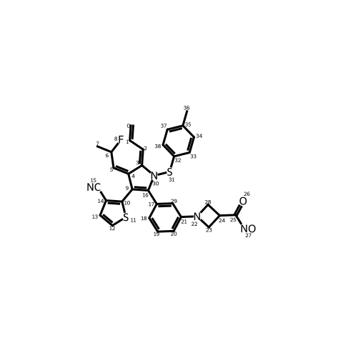 C=C/C=c1\c(=C/C(C)F)c(-c2sccc2C#N)c(-c2cccc(N3CC(C(=O)N=O)C3)c2)n1Sc1ccc(C)cc1